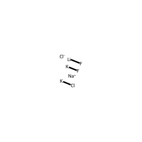 [Cl-].[Cl][K].[F][K].[Li][F].[Na+]